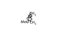 COC(=O)C(C)Cc1cn(C)cn1